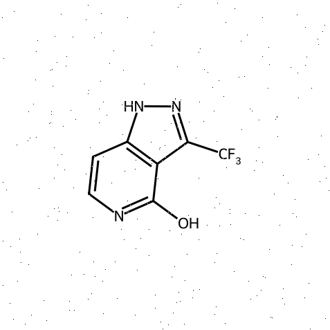 Oc1nccc2[nH]nc(C(F)(F)F)c12